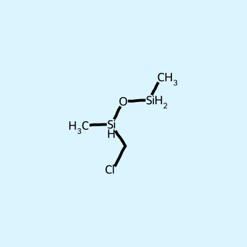 C[SiH2]O[SiH](C)CCl